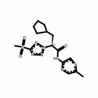 Cc1cnc(NC(=O)[C@H](CC2CCCC2)n2nnc(S(C)(=O)=O)n2)cn1